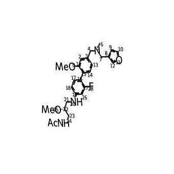 COc1cc(CN(C)Cc2ccoc2)ccc1-c1ccc(NC[C@H](CNC(C)=O)OC)cc1F